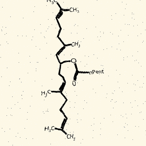 CCCCCC(=O)OC(/C=C(\C)CCC=C(C)C)C/C=C(\C)CCC=C(C)C